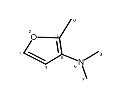 Cc1occc1N(C)C